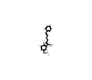 CCc1c(CC/C=C/c2ccccc2)oc2ccc(N)cc12